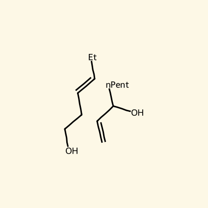 C=CC(O)CCCCC.CCC=CCCO